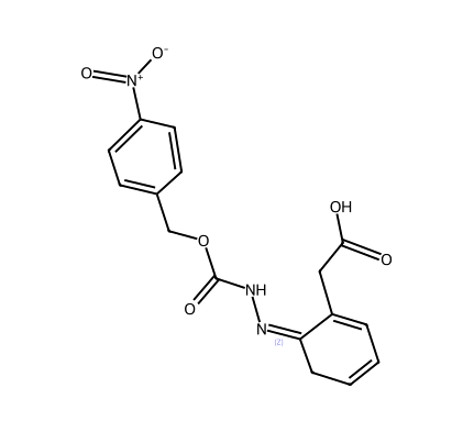 O=C(O)CC1=CC=CC/C1=N/NC(=O)OCc1ccc([N+](=O)[O-])cc1